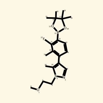 COCCn1ncc(-c2ccc(B3OC(C)(C)C(C)(C)O3)c(F)c2C)c1C